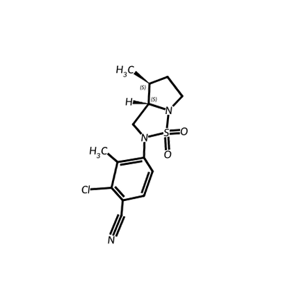 Cc1c(N2C[C@@H]3[C@@H](C)CCN3S2(=O)=O)ccc(C#N)c1Cl